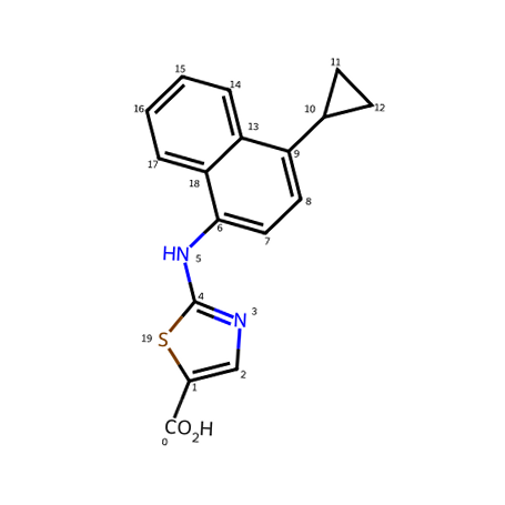 O=C(O)c1cnc(Nc2ccc(C3CC3)c3ccccc23)s1